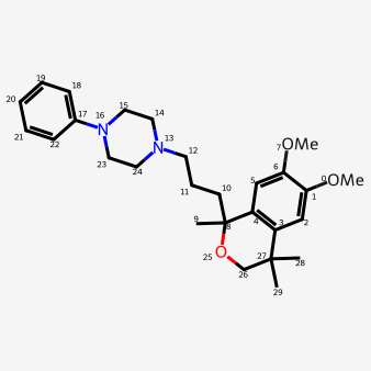 COc1cc2c(cc1OC)C(C)(CCCN1CCN(c3ccccc3)CC1)OCC2(C)C